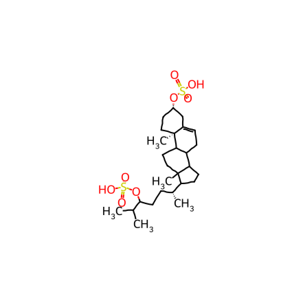 CC(C)C(CC[C@@H](C)C1CCC2C3CC=C4C[C@@H](OS(=O)(=O)O)CC[C@]4(C)C3CCC21C)OS(=O)(=O)O